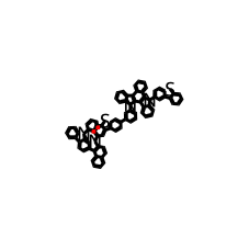 c1ccc(-n2c3ccccc3c3ccc4c5c6ccccc6ccc5n(-c5ccc6sc7cc(-c8cccc(-n9c%10ccccc%10c%10c%11ccccc%11c%11c(c%12ccccc%12n%11-c%11ccc%12sc%13ccccc%13c%12c%11)c%109)c8)ccc7c6c5)c4c32)cc1